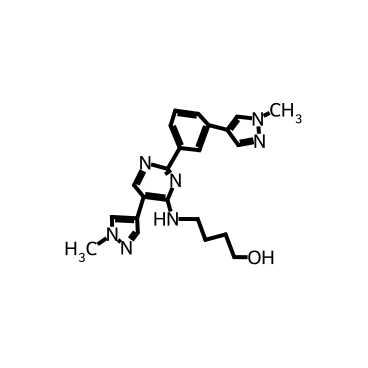 Cn1cc(-c2cccc(-c3ncc(-c4cnn(C)c4)c(NCCCCO)n3)c2)cn1